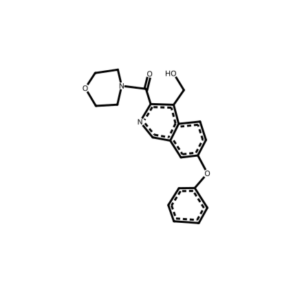 O=C(c1ncc2cc(Oc3ccccc3)ccc2c1CO)N1CCOCC1